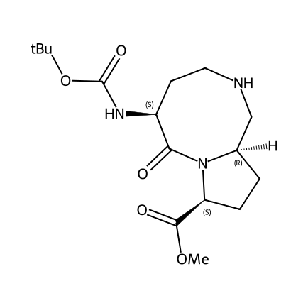 COC(=O)[C@@H]1CC[C@@H]2CNCC[C@H](NC(=O)OC(C)(C)C)C(=O)N21